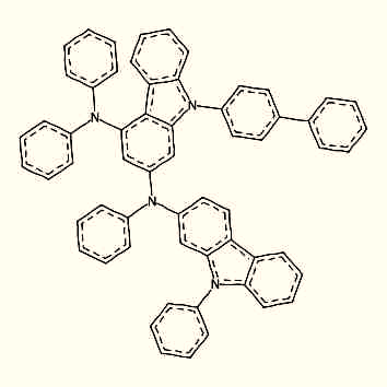 c1ccc(-c2ccc(-n3c4ccccc4c4c(N(c5ccccc5)c5ccccc5)cc(N(c5ccccc5)c5ccc6c7ccccc7n(-c7ccccc7)c6c5)cc43)cc2)cc1